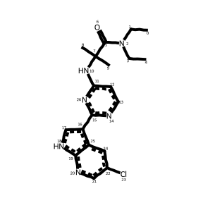 CCN(CC)C(=O)C(C)(C)Nc1ccnc(-c2c[nH]c3ncc(Cl)cc23)n1